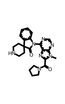 Cn1c(C(=O)N2CCCC2)nc2c(N3C(=O)C4(CCNCC4)c4ccccc43)ncnc21